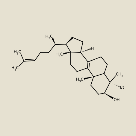 CC[C@@]1(C)C2CCC3=C(CC[C@]4(C)[C@@H]([C@H](C)CCC=C(C)C)CC[C@@H]34)[C@@]2(C)CC[C@@H]1O